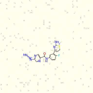 C[C@@]1(c2cc(NC(=O)c3cnc(N=[N+]=N)cn3)ccc2F)CCSC(N)=N1